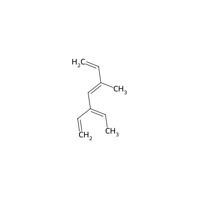 C=CC(C)=CC(C=C)=CC